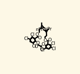 CCCC1C(C)C1CCOC(=O)c1c(Cl)c(Cl)cc(Cl)c1OC(=O)C(=O)Oc1c(Cl)cc(Cl)c(Cl)c1C(=O)OCCC1C(C)C1CCC